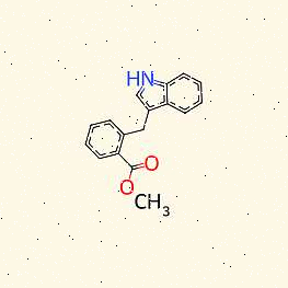 COC(=O)c1ccccc1Cc1c[nH]c2ccccc12